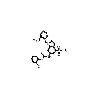 COc1ccccc1Cn1ncc2c(S(C)(=O)=O)cc(NC(=O)Cc3ccccc3Cl)cc21